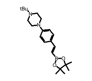 CC(C)(C)N1CCN(c2ccc(/C=C/B3OC(C)(C)C(C)(C)O3)cc2)CC1